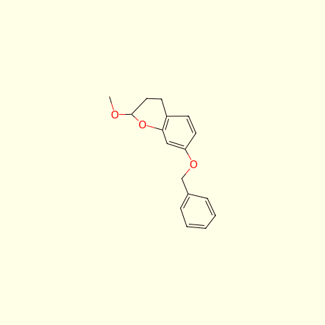 COC1CCc2ccc(OCc3ccccc3)cc2O1